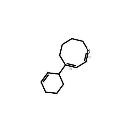 C1=CC(/C2=C/C=N\CCCC2)CCC1